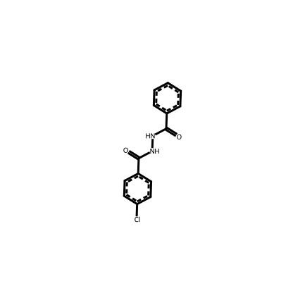 O=C(NNC(=O)c1ccc(Cl)cc1)c1ccccc1